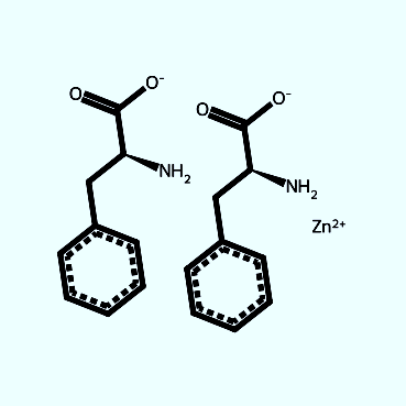 N[C@@H](Cc1ccccc1)C(=O)[O-].N[C@@H](Cc1ccccc1)C(=O)[O-].[Zn+2]